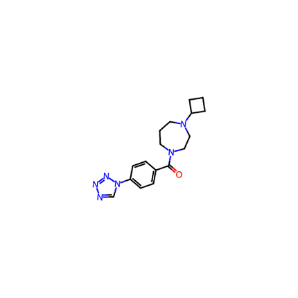 O=C(c1ccc(-n2cnnn2)cc1)N1CCCN(C2CCC2)CC1